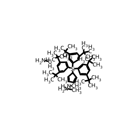 CC(C)(C)c1cc(C(C)(C)C)cc([Si]([C]2C=CC=C2)(c2cc(C(C)(C)C)cc(C(C)(C)C)c2)c2cc(C(C)(C)C)cc(C(C)(C)C)c2)c1.CN.CN.CN